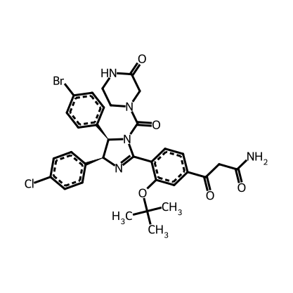 CC(C)(C)Oc1cc(C(=O)CC(N)=O)ccc1C1=N[C@@H](c2ccc(Cl)cc2)[C@@H](c2ccc(Br)cc2)N1C(=O)N1CCNC(=O)C1